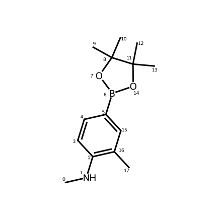 CNc1ccc(B2OC(C)(C)C(C)(C)O2)cc1C